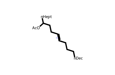 CCCCCCCCCCCCC/C=C/CCC(CCCCCCC)OC(C)=O